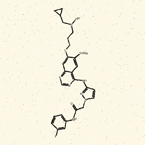 CCCN(CCCOc1cc2ncnc(Nc3ccn(CC(=O)Nc4cccc(F)c4)n3)c2cc1OC)CC1CC1